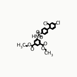 CCOC(=O)c1cc(NS(=O)(=O)c2ccc(-c3ccc(Cl)cc3Cl)cc2)cc(C(=O)OCC)c1